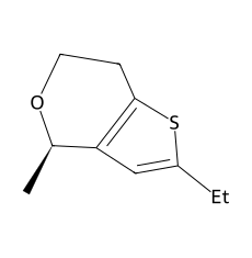 CCc1cc2c(s1)CCO[C@@H]2C